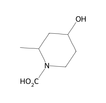 CC1CC(O)CCN1C(=O)O